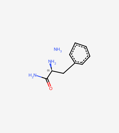 N.NC(=O)[C@@H](N)Cc1ccccc1